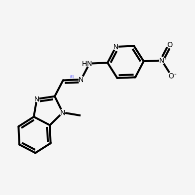 Cn1c(/C=N/Nc2ccc([N+](=O)[O-])cn2)nc2ccccc21